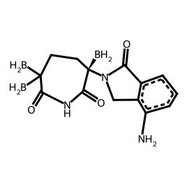 BC1(B)CC[C@](B)(N2Cc3c(N)cccc3C2=O)C(=O)NC1=O